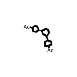 CC(=O)c1ccc(-c2cccc(-c3ccc(C(C)=O)cc3)c2)cc1